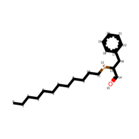 CCCCCCCCCCCCSC(C=O)Cc1ccccc1